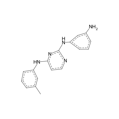 Cc1cccc(Nc2ccnc(Nc3cccc(N)c3)n2)c1